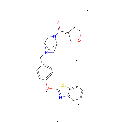 O=C(C1CCOC1)N1CC2CC1CN2Cc1ccc(Oc2nc3ccccc3s2)cc1